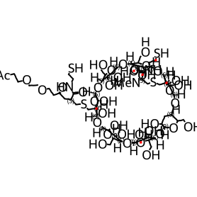 CN[C@H](CSCC1O[C@H]2O[C@H]3CC(O)[C@H](OC3CO)O[C@@H]3C(CO)O[C@H](O[C@@H]4C(CO)O[C@H](O[C@@H]5C(CSC[C@@H](CC(=O)CCOCCOCCC(C)=O)C(=O)NCCS)O[C@H](O[C@@H]6C(CO)O[C@@H](O[C@@H]7C(CO)O[C@@H](O[C@H]1[C@H](O)C2O)C(O)[C@H]7O)C(O)[C@H]6O)C(O)[C@H]5O)C(O)[C@H]4O)C(O)[C@H]3O)C(=O)NCCS